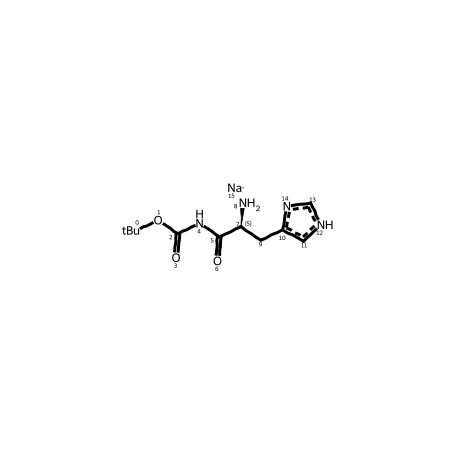 CC(C)(C)OC(=O)NC(=O)[C@@H](N)Cc1c[nH]cn1.[Na]